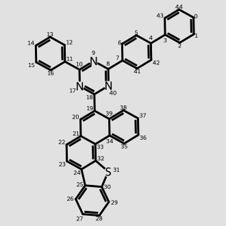 c1ccc(-c2ccc(-c3nc(-c4ccccc4)nc(-c4cc5ccc6c7ccccc7sc6c5c5ccccc45)n3)cc2)cc1